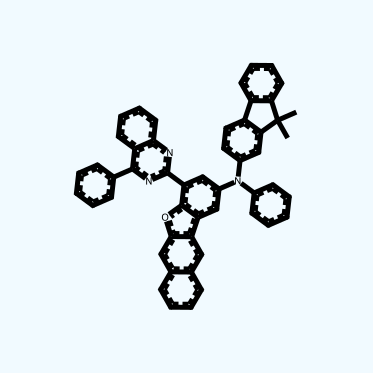 CC1(C)c2ccccc2-c2ccc(N(c3ccccc3)c3cc(-c4nc(-c5ccccc5)c5ccccc5n4)c4oc5cc6ccccc6cc5c4c3)cc21